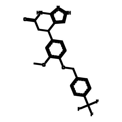 COc1cc(C2CC(=O)Nc3n[nH]cc32)ccc1OCc1ccc(C(F)(F)F)cc1